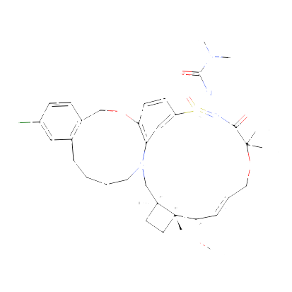 CO[C@H]1/C=C/COC(C)(C)C(=O)N=[S@@](=O)(NC(=O)N(C)C)c2ccc3c(c2)N(CCCCc2cc(Cl)ccc2CO3)C[C@@H]2CC[C@H]21